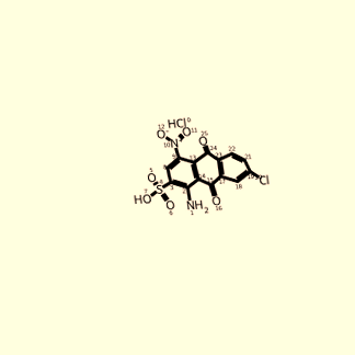 Cl.Nc1c(S(=O)(=O)O)cc([N+](=O)[O-])c2c1C(=O)c1cc(Cl)ccc1C2=O